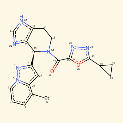 CCc1cccn2nc([C@H]3c4nc[nH]c4CCN3C(=O)c3nnc(C4CC4)o3)cc12